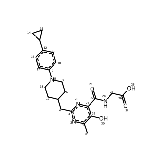 Cc1nc(CC2CCN(c3ccc(C4CC4)cc3)CC2)nc(C(=O)NCC(=O)O)c1O